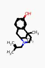 C=C(C)CN1CCC2(C)c3cc(O)ccc3CC1C2C